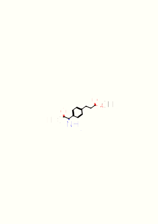 COC(=O)CCc1ccc(C(N)C(C)=O)cc1